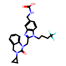 O=C(O)NCc1ccc2c(c1)nc(CN1C(=O)N(C3CC3)Cc3ccccc31)n2CCCC(F)(F)F